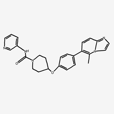 Cc1c(-c2ccc(OC3CCN(C(=O)Nc4cccnc4)CC3)cc2)ccc2nccn12